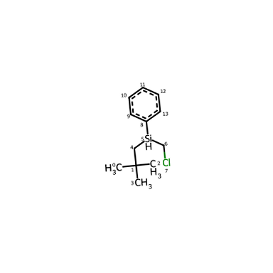 CC(C)(C)C[SiH](CCl)c1ccccc1